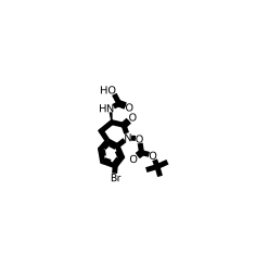 CC(C)(C)OC(=O)ON1C(=O)[C@H](NC(=O)O)Cc2ccc(Br)cc21